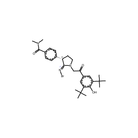 CN(C)C(=O)c1ccc([C@@H]2CCN(CC(=O)c3cc(C(C)(C)C)c(O)c(C(C)(C)C)c3)/C2=N\Br)cc1